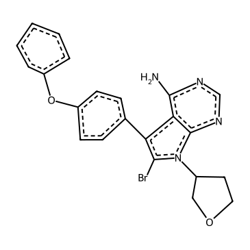 Nc1ncnc2c1c(-c1ccc(Oc3ccccc3)cc1)c(Br)n2C1CCOC1